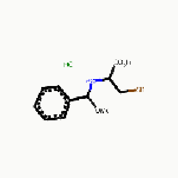 COC(NC(CS)C(=O)O)c1ccccc1.Cl